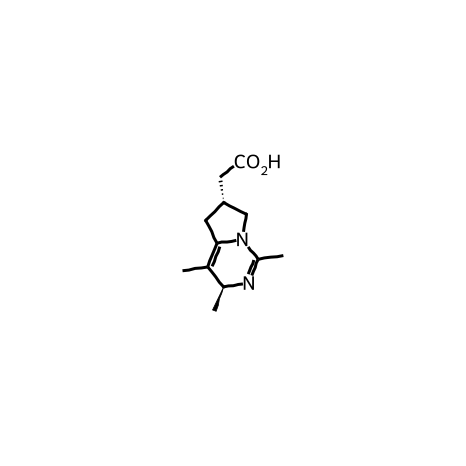 CC1=N[C@@H](C)C(C)=C2C[C@H](CC(=O)O)CN12